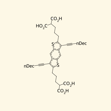 CCCCCCCCCCC#Cc1c(CCCC(C(=O)O)C(=O)O)sc2cc3c(C#CCCCCCCCCCC)c(CCCC(C(=O)O)C(=O)O)sc3cc12